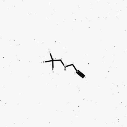 C#CCNCC(F)(F)F